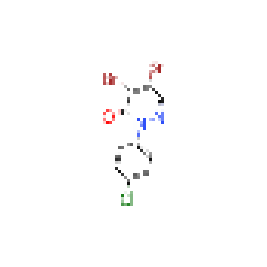 O=c1c(Br)c(Br)cnn1-c1ccc(Cl)cc1